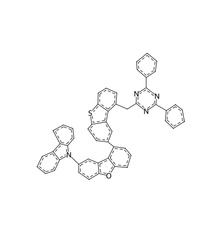 c1ccc(-c2nc(Cc3cccc4sc5ccc(-c6cccc7oc8ccc(-n9c%10ccccc%10c%10ccccc%109)cc8c67)cc5c34)nc(-c3ccccc3)n2)cc1